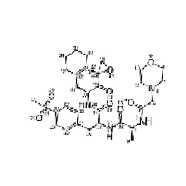 C[C@H](NC(=O)CN1CCOCC1)C(=O)N[C@@H](Cc1ccc(S(C)(=O)=O)cc1)C(=O)N[C@@H](CC1=CCCCC1)C(=O)[C@]1(C)CO1